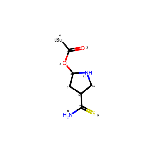 CC(C)(C)C(=O)OC1CC(C(N)=S)CN1